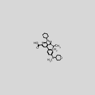 CC(C)c1nn(C2CCCCC2)c2nc(C(=O)O)cc(-c3ccc(N(C)C4CCOCC4)cc3)c12